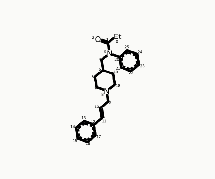 CCC(=O)N(CC1CCN(CC=Cc2ccccc2)CC1)c1ccccc1